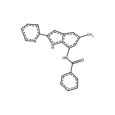 Cc1cc(NC(=O)c2ccccc2)c2[nH]c(-c3ccccn3)cc2c1